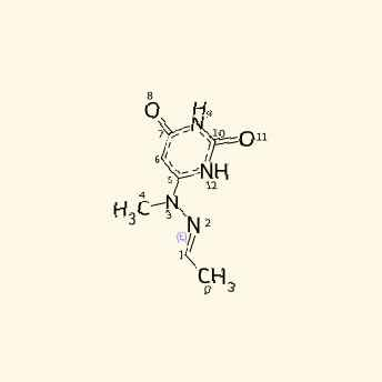 C/C=N/N(C)c1cc(=O)[nH]c(=O)[nH]1